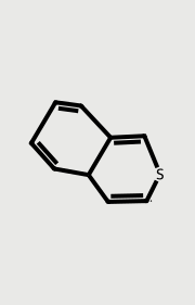 [C]1=CC2C=CC=CC2=CS1